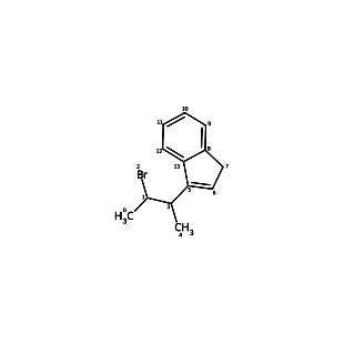 CC(Br)C(C)C1=CCc2ccccc21